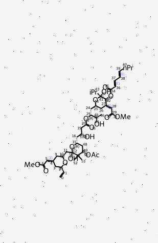 C=C[C@H]1C/C(=C\C(=O)OC)C[C@@H](C[C@]2(O)O[C@H](C[C@@H](O)CC(=O)O[C@H](CC3C/C(=C\C(=O)OC)[C@H](OC(=O)/C=C/C=C/CCC)[C@](O)(C(C)C)O3)[C@@H](C)O)C[C@H](OC(C)=O)C2(C)C)O1